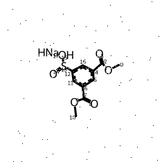 COC(=O)c1cc(C(=O)OC)cc(S(=O)O)c1.[NaH]